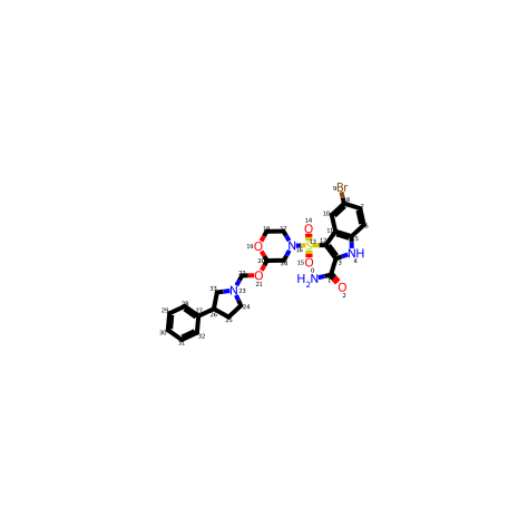 NC(=O)c1[nH]c2ccc(Br)cc2c1S(=O)(=O)N1CCOC(OCN2CCC(c3ccccc3)C2)C1